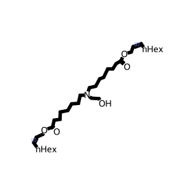 CCCCCC/C=C\COC(=O)CCCCCCCN(CCO)CCCCCCCC(=O)OC/C=C\CCCCCC